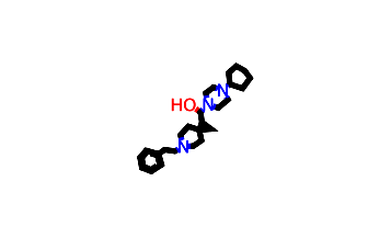 OC(C1CC12CCN(CCc1ccccc1)CC2)N1CCN(C2CCCCC2)CC1